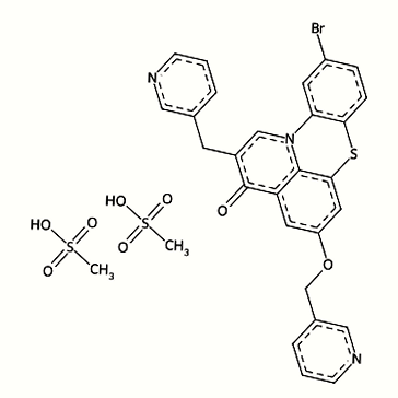 CS(=O)(=O)O.CS(=O)(=O)O.O=c1c(Cc2cccnc2)cn2c3c(cc(OCc4cccnc4)cc13)Sc1ccc(Br)cc1-2